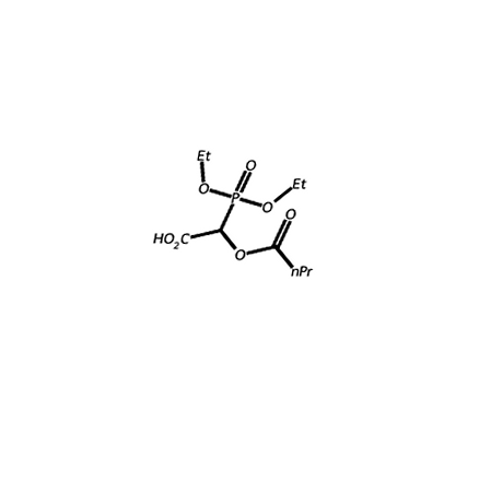 CCCC(=O)OC(C(=O)O)P(=O)(OCC)OCC